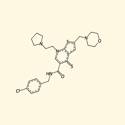 O=C(NCc1ccc(Cl)cc1)c1cn(CCN2CCCC2)c2sc(CN3CCOCC3)cc2c1=S